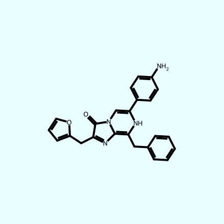 Nc1ccc(-c2cn3c(=O)c(Cc4ccco4)nc-3c(Cc3ccccc3)[nH]2)cc1